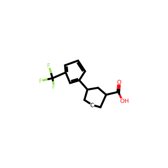 O=C(O)C1CCCC(c2cccc(C(F)(F)F)c2)C1